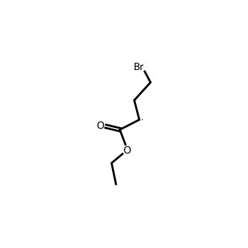 CCOC(=O)[CH]CCBr